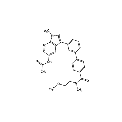 COCCN(C)C(=O)c1ccc(-c2cccc(-c3nn(C)c4ncc(NC(C)=O)cc34)c2)cc1